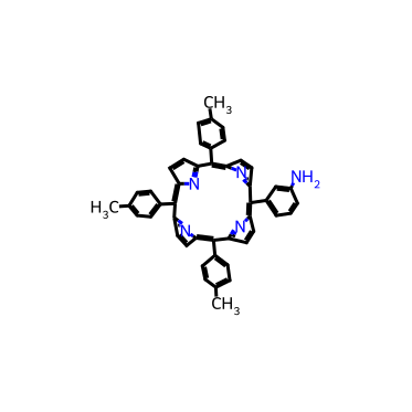 Cc1ccc(C2=C3C=CC(=N3)C(c3ccc(C)cc3)=C3C=CC(=N3)C(c3cccc(N)c3)=C3C=CC(=N3)C(c3ccc(C)cc3)=C3C=CC2=N3)cc1